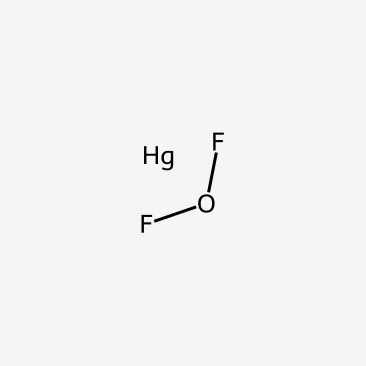 FOF.[Hg]